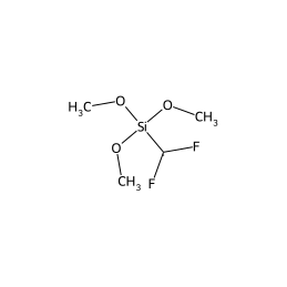 CO[Si](OC)(OC)[C](F)F